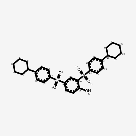 O=S(=O)(c1ccc(C2CCCCC2)cc1)c1ccc(O)c(S(=O)(=O)c2ccc(C3CCCCC3)cc2)c1